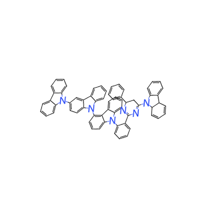 C1=CC2c3ccccc3N(C3=NC(c4ccccc4-n4c5ccccc5c5c(-n6c7ccccc7c7cc(-n8c9ccccc9c9ccccc98)ccc76)cccc54)=NC(c4ccccc4)C3)C2C=C1